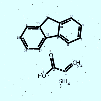 C=CC(=O)O.[SiH4].c1ccc2c(c1)Cc1ccccc1-2